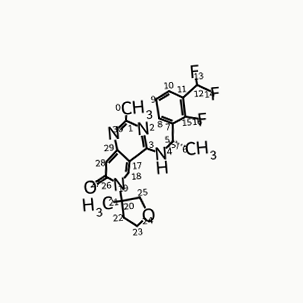 Cc1nc(N[C@@H](C)c2cccc(C(F)F)c2F)c2cn(C3(C)CCOC3)c(=O)cc2n1